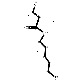 CC(C)CCCCCOC(=O)CC[S]